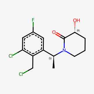 C[C@@H](c1cc(F)cc(Cl)c1CCl)N1CCC[C@@H](O)C1=O